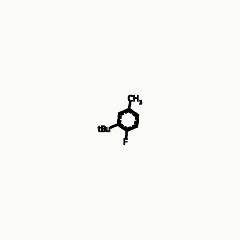 Cc1ccc(F)c(C(C)(C)C)c1